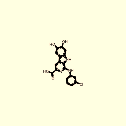 O=C(O)c1cc2c([nH]c3cc(O)c(O)cc32)c(Nc2cccc(Cl)c2)n1